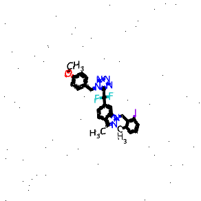 COc1ccc(Cn2nnnc2C(F)(F)c2ccc3c(C)nn(Cc4c(C)cccc4I)c3c2)cc1